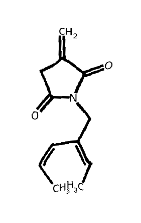 C=C1CC(=O)N(CC(/C=C\C)=C/C)C1=O